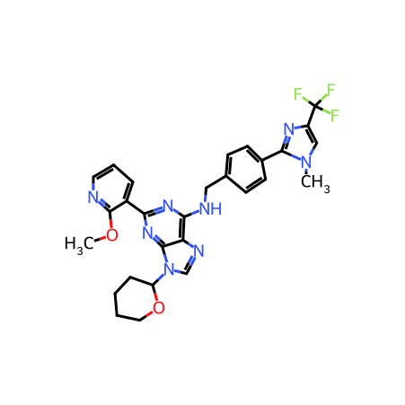 COc1ncccc1-c1nc(NCc2ccc(-c3nc(C(F)(F)F)cn3C)cc2)c2ncn(C3CCCCO3)c2n1